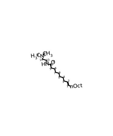 CCCCCCCCC=CCCCCCCCC(=O)NCCN(C)C